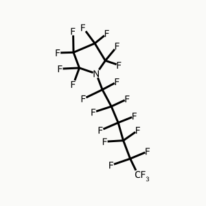 FC(F)(F)C(F)(F)C(F)(F)C(F)(F)C(F)(F)C(F)(F)N1C(F)(F)C(F)(F)C(F)(F)C1(F)F